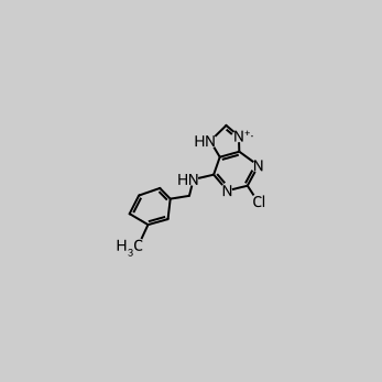 Cc1cccc(CNc2nc(Cl)nc3c2NC=[N+]3)c1